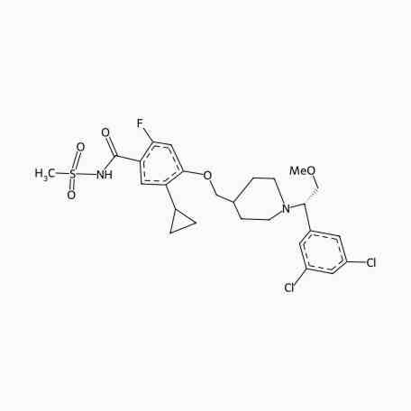 COC[C@H](c1cc(Cl)cc(Cl)c1)N1CCC(COc2cc(F)c(C(=O)NS(C)(=O)=O)cc2C2CC2)CC1